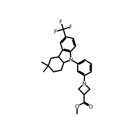 COC(=O)C1CN(c2cccc(N3c4ccc(C(F)(F)F)cc4C4CC(C)(C)CCC43)c2)C1